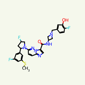 CSc1cc(F)cc(C2CC(F)CN2c2ccc3ncc(C(=O)NC4CN(Cc5ccc(F)c(O)c5)C4)n3n2)c1